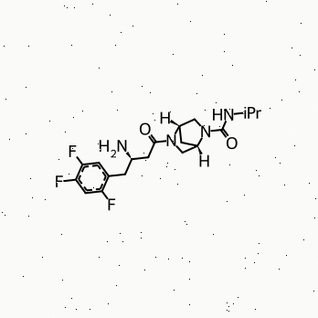 CC(C)NC(=O)N1C[C@@H]2C[C@H]1CN2C(=O)C[C@H](N)Cc1cc(F)c(F)cc1F